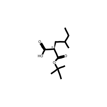 CCC(C)C[C@H](C(=O)O)C(=O)OC(C)(C)C